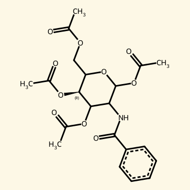 CC(=O)OCC1OC(OC(C)=O)C(NC(=O)c2ccccc2)C(OC(C)=O)[C@H]1OC(C)=O